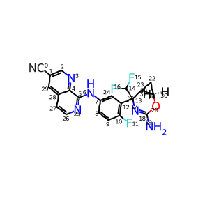 N#Cc1cnc2c(Nc3ccc(F)c([C@@]4(C(F)F)N=C(N)O[C@@H]5C[C@@H]54)c3)nccc2c1